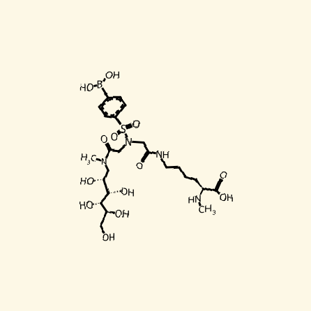 CN[C@@H](CCCCNC(=O)CN(CC(=O)N(C)C[C@@H](O)[C@H](O)[C@@H](O)[C@@H](O)CO)S(=O)(=O)c1ccc(B(O)O)cc1)C(=O)O